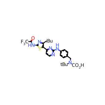 CCC(C)c1nc(NC(=O)C(F)(F)F)sc1-c1ccnc(Nc2ccc(CN(C(=O)O)C(C)(C)C)cc2)n1